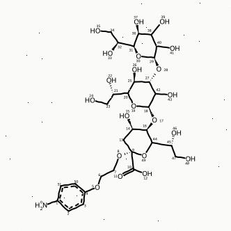 Nc1ccc(OCCO[C@]2(C(=O)O)C[C@@H](O)[C@@H](O[C@H]3OC([C@@H](O)CO)[C@@H](O)[C@H](O[C@H]4O[C@@H]([C@@H](O)CO)[C@@H](O)C(O)C4O)C3O)C([C@H](O)CO)O2)cc1